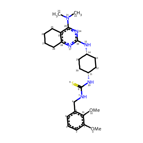 COc1cccc(CNC(=S)N[C@H]2CC[C@@H](Nc3nc4c(c(N(C)C)n3)CCCC4)CC2)c1OC